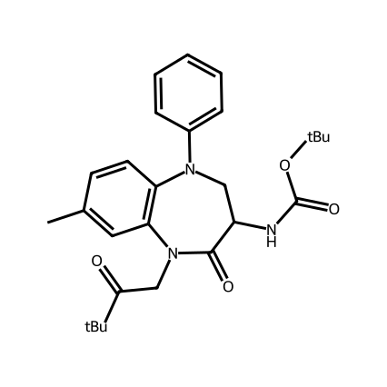 Cc1ccc2c(c1)N(CC(=O)C(C)(C)C)C(=O)C(NC(=O)OC(C)(C)C)CN2c1ccccc1